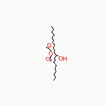 C(OCC1CO1)C1CO1.CCCCCCCCCCCC(CO)CCCCCCCCC